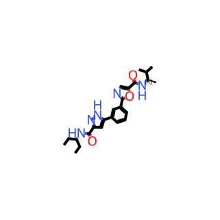 CCC(CC)NC(=O)c1cc(-c2cccc(-c3ncc(C(=O)N[C@H](C)C(C)C)o3)c2)[nH]n1